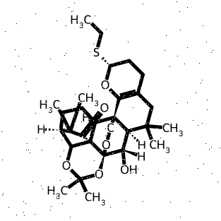 CCS[C@@H]1CCC2=C(O1)[C@@]13CO[C@]4(OC(C)(C)OC5[C@H]6CC[C@@H]1[C@]54C(=O)C6(C)C)[C@@H](O)[C@@H]3C(C)(C)C2